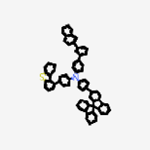 c1ccc(C2(c3ccccc3)c3ccccc3-c3ccc(-c4ccc(N(c5ccc(-c6cccc(-c7ccc8ccccc8c7)c6)cc5)c5ccc(-c6cccc7sc8ccccc8c67)cc5)cc4)cc32)cc1